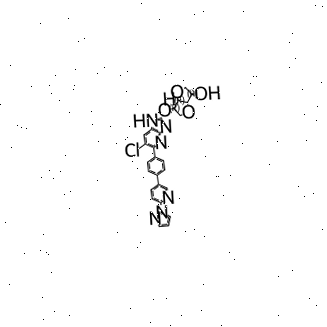 O[C@@H]1CO[C@H]2C1OC[C@H]2Oc1nc2nc(-c3ccc(-c4ccc(-n5cccn5)nc4)cc3)c(Cl)cc2[nH]1